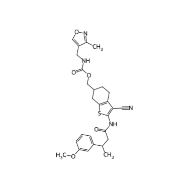 COc1cccc(C(C)CC(=O)Nc2sc3c(c2C#N)CCC(COC(=O)NCc2conc2C)C3)c1